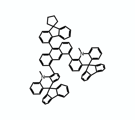 CN1c2ccccc2C2(c3ccccc3-c3ccccc32)c2cccc(-c3cccc4c(-c5cccc6c5-c5ccccc5C65CCCC5)c5cccc(-c6cccc7c6N(C)c6ccccc6C76c7ccccc7-c7ccccc76)c5cc34)c21